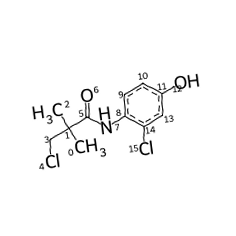 CC(C)(CCl)C(=O)Nc1ccc(O)cc1Cl